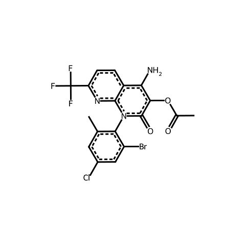 CC(=O)Oc1c(N)c2ccc(C(F)(F)F)nc2n(-c2c(C)cc(Cl)cc2Br)c1=O